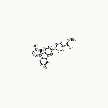 CC(C)(C)OC(=O)N1CCN(c2ncc(C(N[S+]([O-])C(C)(C)C)(c3ccc(F)cc3)C(F)(F)F)cn2)CC1